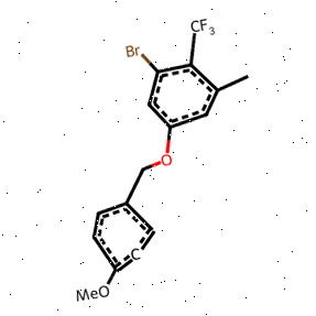 COc1ccc(COc2cc(C)c(C(F)(F)F)c(Br)c2)cc1